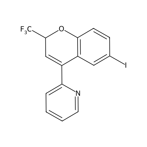 FC(F)(F)C1C=C(c2ccccn2)c2cc(I)ccc2O1